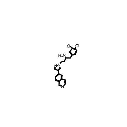 N[C@H](CCn1cc(-c2ccc3cnccc3c2)cn1)Cc1ccc(Cl)c(Cl)c1